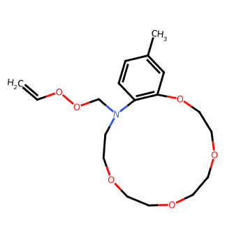 C=COOCN1CCOCCOCCOCCOc2cc(C)ccc21